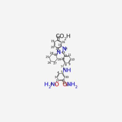 NOc1ccc(NCc2cccc(-c3nc4cc(C(=O)O)ccc4n3C3CCCCC3)c2)cc1ON